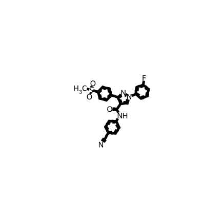 CS(=O)(=O)c1ccc(-c2nn(-c3cccc(F)c3)cc2C(=O)Nc2ccc(C#N)cc2)cc1